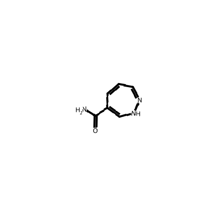 NC(=O)C1=CNN=CC=C1